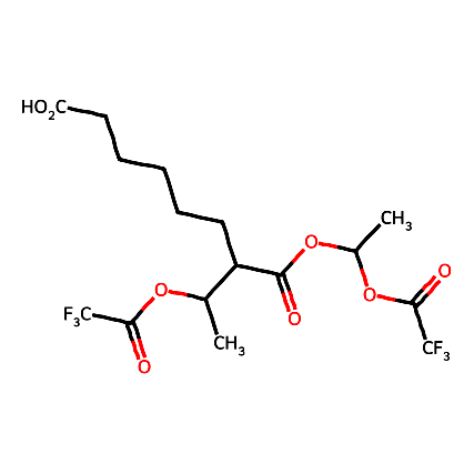 CC(OC(=O)C(CCCCCC(=O)O)C(C)OC(=O)C(F)(F)F)OC(=O)C(F)(F)F